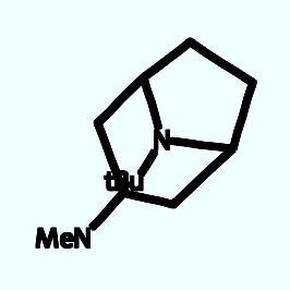 CNC1CC2CCC(C1)N2C(C)(C)C